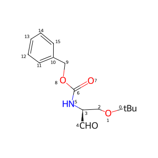 CC(C)(C)OC[C@@H](C=O)NC(=O)OCc1ccccc1